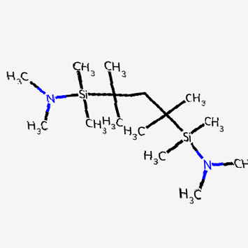 CN(C)[Si](C)(C)C(C)(C)CC(C)(C)[Si](C)(C)N(C)C